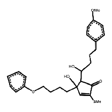 COc1ccc(CCCC(O)C2C(=O)C(SC)=CC2(O)CCCCOc2ccccc2)cc1